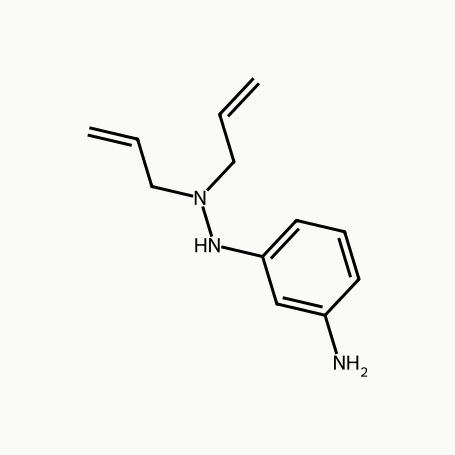 C=CCN(CC=C)Nc1cccc(N)c1